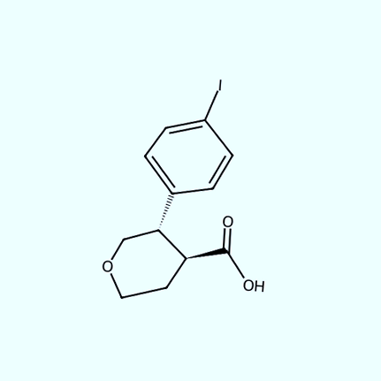 O=C(O)[C@H]1CCOC[C@@H]1c1ccc(I)cc1